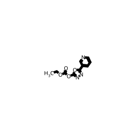 CCOC(=O)Oc1nnc(-c2cccnc2)o1